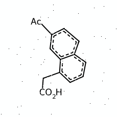 CC(=O)c1ccc2cccc(CC(=O)O)c2c1